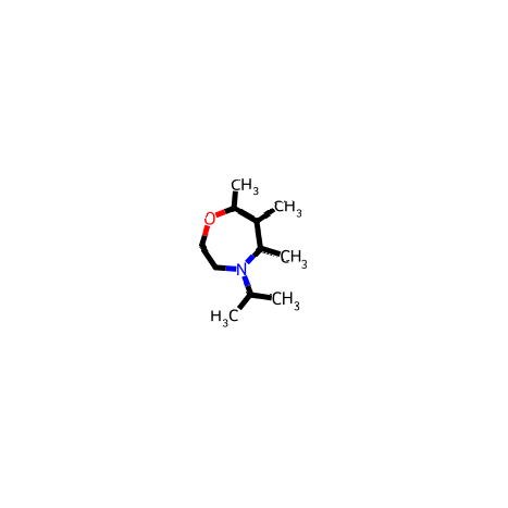 CC1OCCN(C(C)C)C(C)C1C